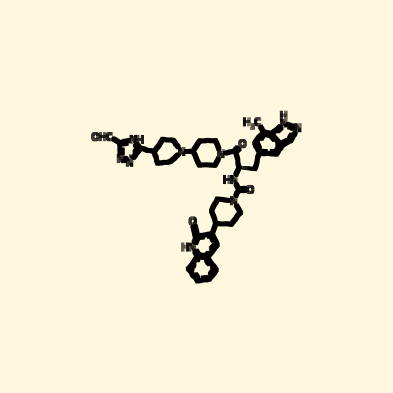 Cc1cc(C[C@@H](NC(=O)N2CCC(c3cc4ccccc4[nH]c3=O)CC2)C(=O)N2CCC(N3CCC(c4nnc(C=O)[nH]4)CC3)CC2)cc2cn[nH]c12